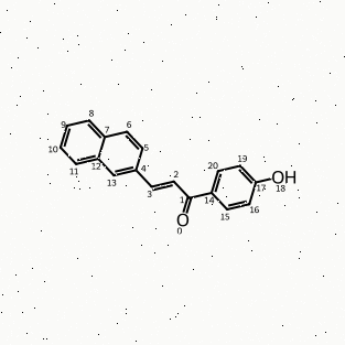 O=C(/C=C/c1ccc2ccccc2c1)c1ccc(O)cc1